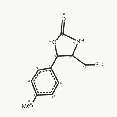 CSc1ccc(C2OC(=O)NC2CF)cc1